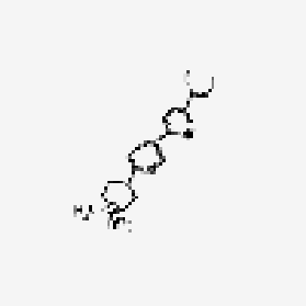 CCC[Si]1(C)CCC(c2ccc(-c3ccc(C(F)=CF)cc3)cc2)CC1